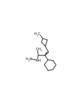 CC1CC(/C=C(/C2CCCCC2)C(C)NN)C1